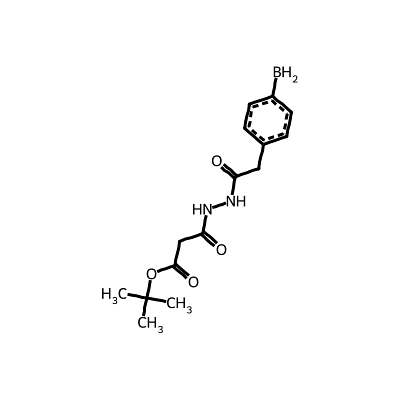 Bc1ccc(CC(=O)NNC(=O)CC(=O)OC(C)(C)C)cc1